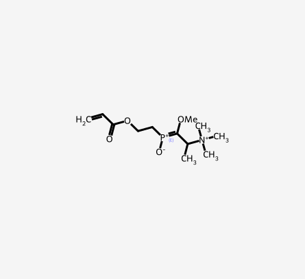 C=CC(=O)OCC/[P+]([O-])=C(\OC)C(C)[N+](C)(C)C